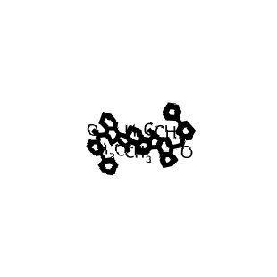 CC1(C)c2c(ccc3c4c(ccc23)C2C3CC=CC=C3C(C(=O)C3C=CC=C(c5ccccc5)C3)=CC2C4(C)C)C2c3ccccc3C(C(=O)c3cccc(-c4ccccc4)c3)=CC21